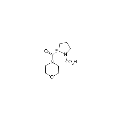 O=C([C@@H]1CCCN1C(=O)O)N1CCOCC1